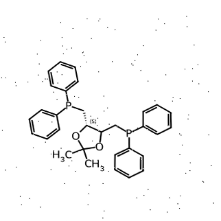 CC1(C)OC(CP(c2ccccc2)c2ccccc2)[C@@H](CP(c2ccccc2)c2ccccc2)O1